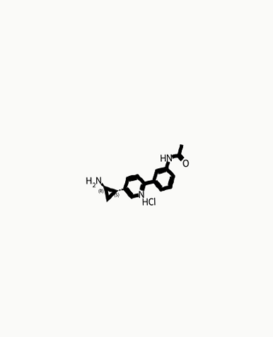 CC(=O)Nc1cccc(-c2ccc([C@@H]3C[C@H]3N)cn2)c1.Cl